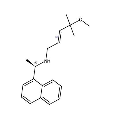 COC(C)(C)/C=C/CN[C@H](C)c1cccc2ccccc12